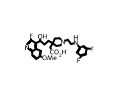 COc1ccc2ncc(F)c(C(O)CCC3(CC(=O)O)CCN(CCNc4cc(F)cc(F)c4)CC3)c2c1